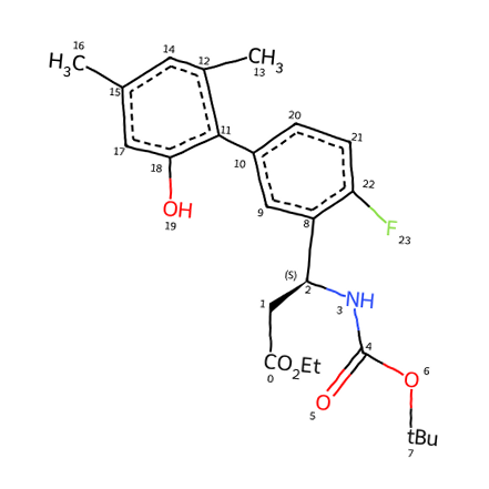 CCOC(=O)C[C@H](NC(=O)OC(C)(C)C)c1cc(-c2c(C)cc(C)cc2O)ccc1F